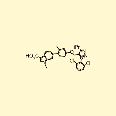 Cc1cc(OCc2c(C(C)C)nnn2-c2c(Cl)cccc2Cl)ccc1-c1ccc2c(C(=O)O)cn(C)c2c1